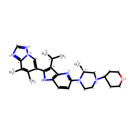 Cc1c(-c2[nH]c3ccc(N4CCN(C5CCOCC5)C[C@@H]4C)nc3c2C(C)C)cn2ncnc2c1C